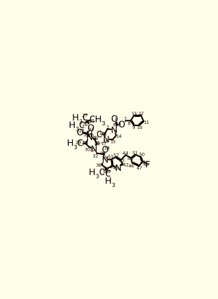 C[C@@H]1CN(C(=O)OCc2ccccc2)CCN1C[C@H]1CN(C(=O)OC(C)(C)C)[C@H](C)CN1CC(=O)N1CC(C)(C)c2ncc(Cc3ccc(F)cc3)cc21